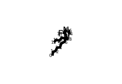 CCCCCCCC(C)(CCCC)n1ccnc1F